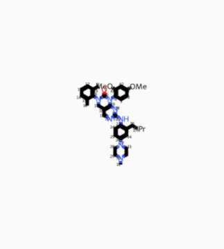 COc1ccc(N2C(=O)N(c3c(C)cccc3C)Cc3cnc(Nc4ccc(N5CCN(C)CC5)cc4CC(C)C)nc32)c(OC)c1